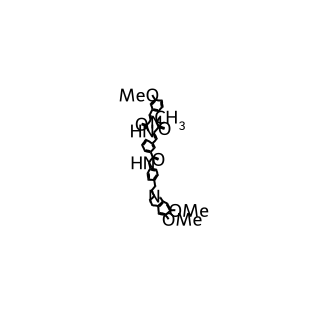 COc1cccc(/C=c2/c(=O)[nH]/c(=C\c3cccc(C(=O)Nc4ccc(CCN5CCc6cc(OC)c(OC)cc6C5)cc4)c3)c(=O)n2C)c1